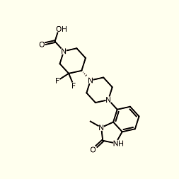 Cn1c(=O)[nH]c2cccc(N3CCN([C@H]4CCN(C(=O)O)CC4(F)F)CC3)c21